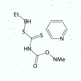 CCBSC(=S)NC(=O)ONC.c1ccncc1